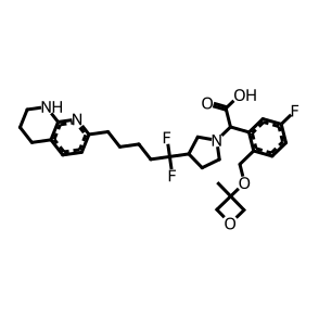 CC1(OCc2ccc(F)cc2C(C(=O)O)N2CCC(C(F)(F)CCCCc3ccc4c(n3)NCCC4)C2)COC1